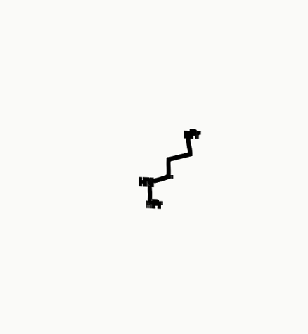 CCCCC[CH]NCCC